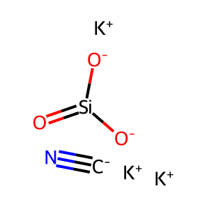 O=[Si]([O-])[O-].[C-]#N.[K+].[K+].[K+]